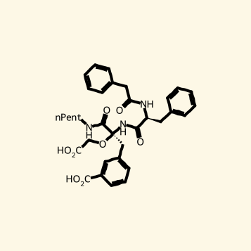 CCCCCNC(=O)[C@@](Cc1cccc(C(=O)O)c1)(NC(=O)[C@H](Cc1ccccc1)NC(=O)Cc1ccccc1)OCC(=O)O